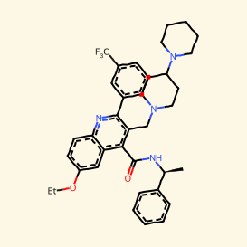 CCOc1ccc2nc(-c3cccc(C(F)(F)F)c3)c(CN3CCC(N4CCCCC4)CC3)c(C(=O)N[C@@H](C)c3ccccc3)c2c1